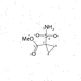 COC(=O)C1(S(N)(=O)=O)CC1